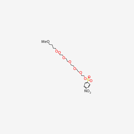 COCCCCOOCCOCCOCCOCCOCCOS(=O)(=O)c1ccc([N+](=O)[O-])cc1